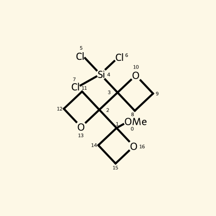 COC1(C2(C3([Si](Cl)(Cl)Cl)CCO3)CCO2)CCO1